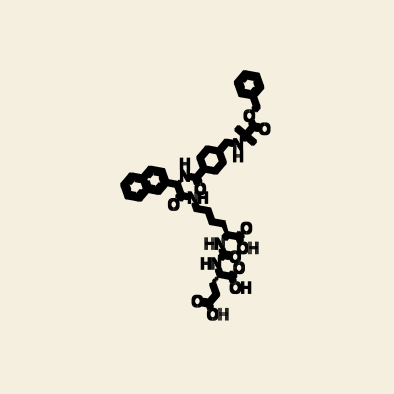 CC(C)(NCC1CCC(C(=O)N[C@H](C(=O)NCCCC[C@H](NC(=O)N[C@@H](CCC(=O)O)C(=O)O)C(=O)O)c2ccc3ccccc3c2)CC1)C(=O)OCc1ccccc1